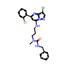 CN(CCCNc1cc(-c2ccccc2Cl)nc2c(Br)cnn12)C(=O)NCc1ccccc1